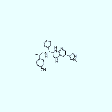 C[C@@H](CN[C@H](c1ccccc1)[C@@H]1CNc2cc(-c3cnn(C)c3)cnc2N1)c1ccc(C#N)cc1